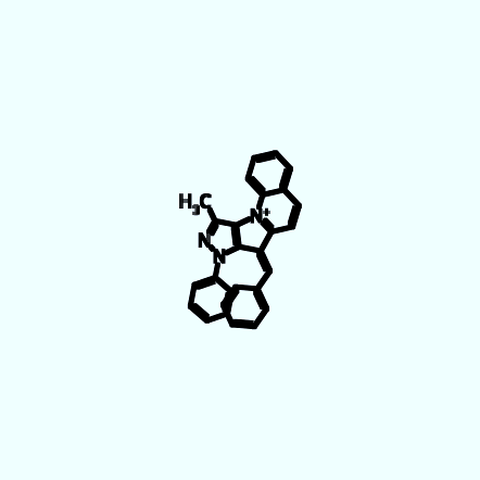 Cc1nn(-c2ccccc2)c2c1-[n+]1c(ccc3ccccc31)/C2=C/c1ccccc1